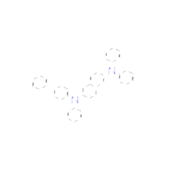 c1ccc(-c2ccc(N(c3ccccc3)c3ccc4cc(N(c5ccccc5)c5ccccc5)ccc4c3)cc2)cc1